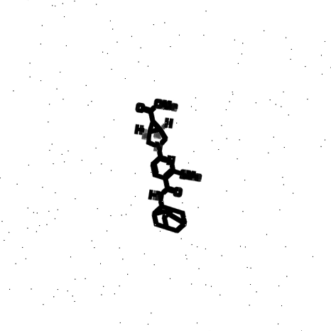 COC(=O)C1[C@H]2CN(c3ccc(C(=O)NC4C5CC6CC(C5)CC4C6)c(SC)n3)C[C@@H]12